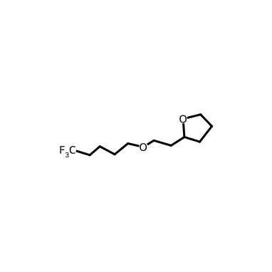 FC(F)(F)CCCCOCCC1CCCO1